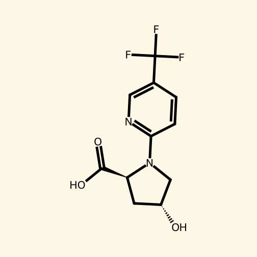 O=C(O)[C@@H]1C[C@@H](O)CN1c1ccc(C(F)(F)F)cn1